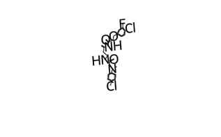 C=C(CCNC(=O)CN(C)c1ccc(Cl)cc1)NC(=O)COc1ccc(Cl)c(F)c1